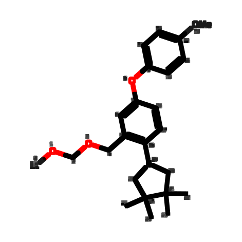 CCOCOCc1cc(Oc2ccc(OC)cc2)ccc1B1CC(C)(C)C(C)(C)C1